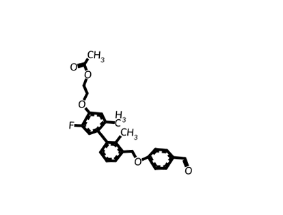 CC(=O)OCCOc1cc(C)c(-c2cccc(COc3ccc(C=O)cc3)c2C)cc1F